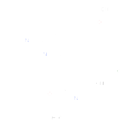 COc1ccc2c(c1)C(CCC(=O)N1C(C)CCC1C)(c1ccc(Cl)cc1)n1ccnc1-2